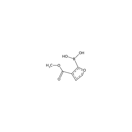 COC(=O)c1ccoc1B(O)O